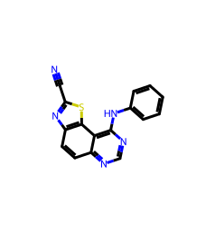 N#Cc1nc2ccc3ncnc(Nc4ccccc4)c3c2s1